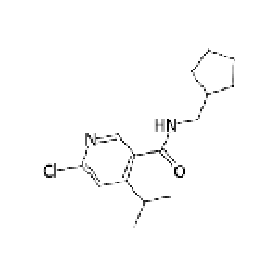 CC(C)c1cc(Cl)ncc1C(=O)NCC1CCCC1